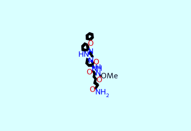 COC(=O)NC(CCC=CC(N)=O)C(=O)Nc1cccn(Cc2nc3c(Oc4ccccc4)cccc3[nH]2)c1=O